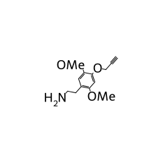 C#CCOc1cc(OC)c(CCN)cc1OC